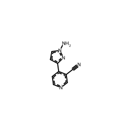 N#Cc1cnccc1-c1ccn(N)n1